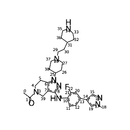 CC(=O)N1CCc2c(c(Nc3ccc(-c4cnn(C)c4)cc3F)nn2C2CCN(CCC3CCNCC3)CC2)C1